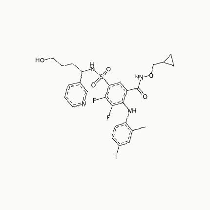 Cc1cc(I)ccc1Nc1c(C(=O)NOCC2CC2)cc(S(=O)(=O)NC(CCCO)c2cccnc2)c(F)c1F